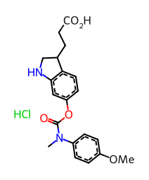 COc1ccc(N(C)C(=O)Oc2ccc3c(c2)NCC3CCC(=O)O)cc1.Cl